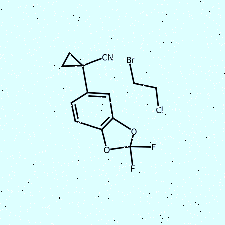 ClCCBr.N#CC1(c2ccc3c(c2)OC(F)(F)O3)CC1